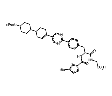 CCCCCC1CCC(C2CC=C(c3cnc(-c4ccc(CC(NC(=O)c5ccc(C(C)(C)C)s5)C(=O)NCC(=O)O)cc4)nc3)CC2)CC1